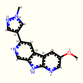 COc1cnc2[nH]c3cnc(-c4cnn(C)c4)cc3c2c1